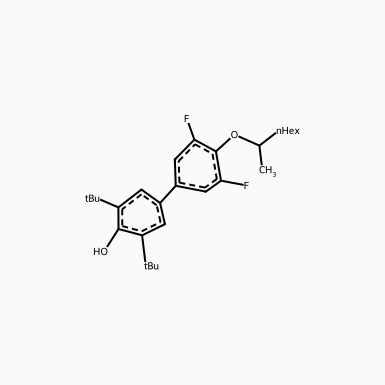 CCCCCCC(C)Oc1c(F)cc(-c2cc(C(C)(C)C)c(O)c(C(C)(C)C)c2)cc1F